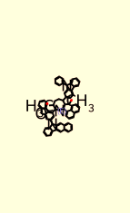 CCC1/C(c2cccc3ccccc23)=N\C(c2cc(-n3c4ccccc4c4cc5ccccc5cc43)cc3oc4ccccc4c23)C(C)CCC1c1ccc2c3ccccc3n(-c3ccccc3)c2c1